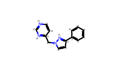 c1ccc(-c2ccn(Cc3ccncn3)n2)cc1